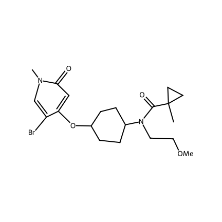 COCCN(C(=O)C1(C)CC1)C1CCC(Oc2cc(=O)n(C)cc2Br)CC1